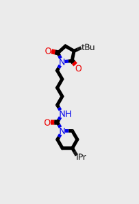 CC(C)C1CCN(C(=O)NCCCCCN2C(=O)CC(C(C)(C)C)C2=O)CC1